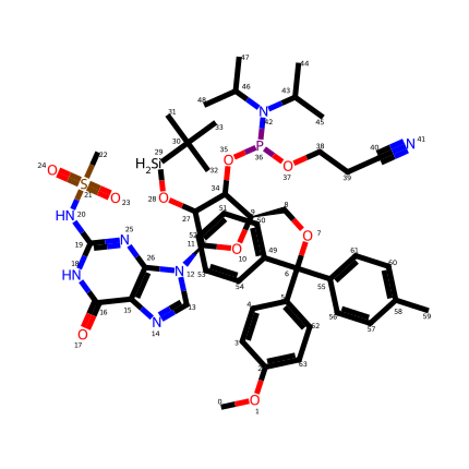 COc1ccc(C(OC[C@H]2O[C@@H](n3cnc4c(=O)[nH]c(NS(C)(=O)=O)nc43)C(O[SiH2]C(C)(C)C)C2OP(OCCC#N)N(C(C)C)C(C)C)(c2ccccc2)c2ccc(C)cc2)cc1